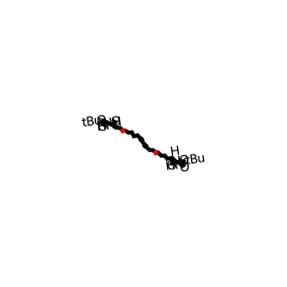 CC(C)(C)OC(=O)NNC(=O)CCCCCCCCC#CC#CCCCCCCCCC(=O)NNC(=O)OC(C)(C)C